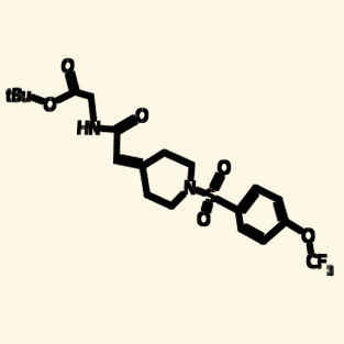 CC(C)(C)OC(=O)CNC(=O)C=C1CCN(S(=O)(=O)c2ccc(OC(F)(F)F)cc2)CC1